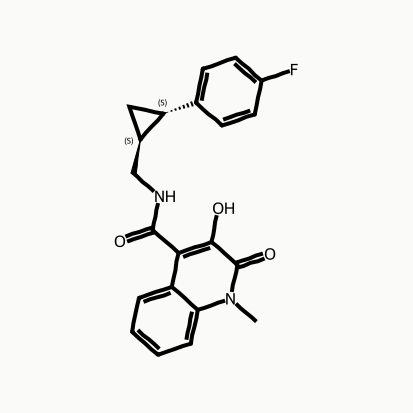 Cn1c(=O)c(O)c(C(=O)NC[C@H]2C[C@@H]2c2ccc(F)cc2)c2ccccc21